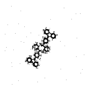 c1ccc2c(c1)-c1ccccc1C2c1ccc(/C2=N/c3ccncc3/C(c3ccc(C4c5ccccc5-c5ccccc54)cc3)=N\c3ccncc32)cc1